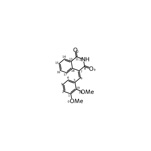 COc1cccc(/C=C2/C(=O)NC(=O)c3ccccc32)c1OC